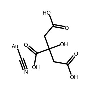 N#[C][Au].O=C(O)CC(O)(CC(=O)O)C(=O)O